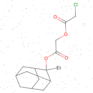 CCC1(OC(=O)COC(=O)CCl)C2CC3CC(C2)CC1C3